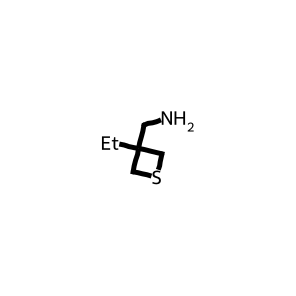 CCC1(CN)CSC1